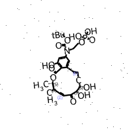 C[C@@H]1/C=C\C(=O)[C@@H](O)[C@@H](O)C/C=C/c2cc(N(CCOP(=O)(O)O)C(=O)OC(C)(C)C)cc(O)c2C(=O)O[C@H]1C